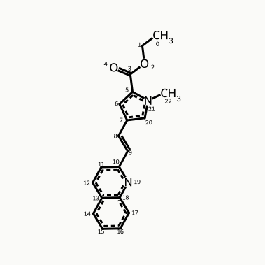 CCOC(=O)c1cc(/C=C/c2ccc3ccccc3n2)cn1C